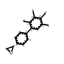 C1CO1.Cc1cc(-c2ccccc2)c(C)c(C)c1C